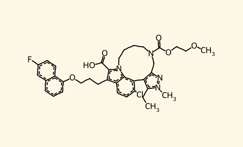 CCc1c2c(nn1C)CN(C(=O)OCCOC)CCCCn1c(C(=O)O)c(CCCOc3cccc4cc(F)ccc34)c3ccc(Cl)c-2c31